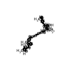 CC1=C(C(=O)NCc2c(C)cc(C)[nH]c2=O)c2ccccc2C1C(C)C1CCN(C(=O)COCCOCCOCCOCC(=O)NC[C@H](C(=O)N2C[C@H](O)C[C@H]2C(=O)NCc2ccc(-c3scnc3C)cc2)C(C)(C)C)CC1